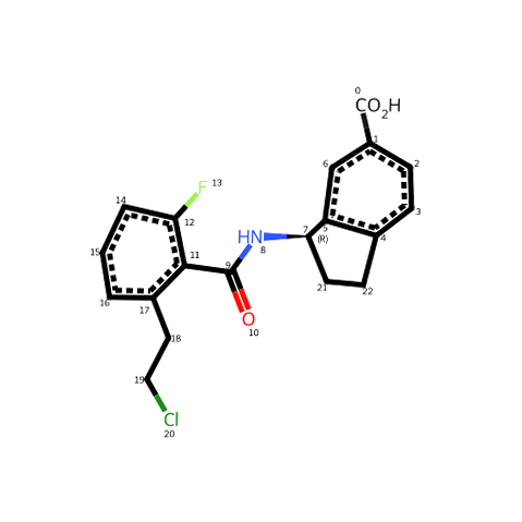 O=C(O)c1ccc2c(c1)[C@H](NC(=O)c1c(F)cccc1CCCl)CC2